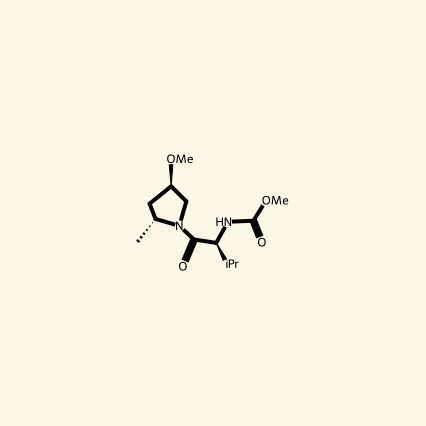 COC(=O)N[C@H](C(=O)N1C[C@H](OC)C[C@H]1C)C(C)C